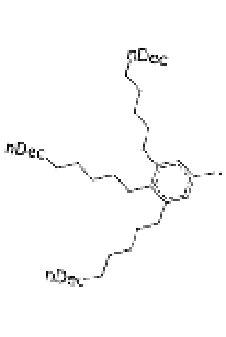 [CH2]c1cc(CCCCCCCCCCCCCCC)c(CCCCCCCCCCCCCCC)c(CCCCCCCCCCCCCCC)c1